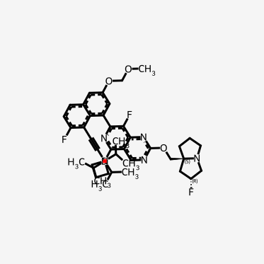 COCOc1cc(-c2nc(N3CCC3)c3cnc(OC[C@@]45CCCN4C[C@H](F)C5)nc3c2F)c2c(C#C[Si](C(C)C)(C(C)C)C(C)C)c(F)ccc2c1